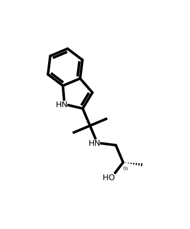 C[C@H](O)CNC(C)(C)c1cc2ccccc2[nH]1